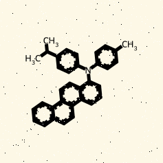 Cc1ccc(N(c2ccc(C(C)C)cc2)c2cccc3c2ccc2c4ccccc4ccc32)cc1